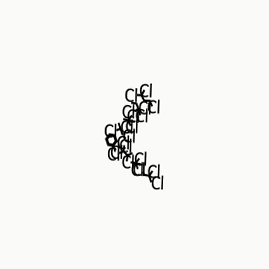 CC(Cl)(Cl)CCl.CC(Cl)C(Cl)Cl.CC(Cl)Cl.CC(Cl)Cl.CCC(Cl)(Cl)Cl.ClCC(Cl)CCl.ClCCC(Cl)Cl.Clc1ccccc1Cl